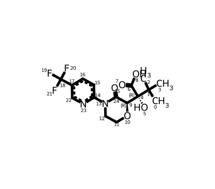 CC(C)(C)[C@](O)(C(=O)O)[C@H]1OCCN(c2ccc(C(F)(F)F)cn2)C1=O